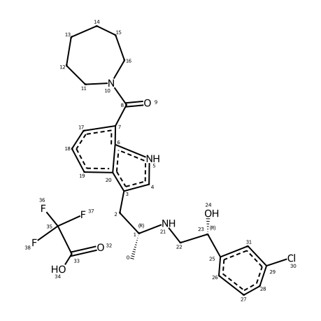 C[C@H](Cc1c[nH]c2c(C(=O)N3CCCCCC3)cccc12)NC[C@H](O)c1cccc(Cl)c1.O=C(O)C(F)(F)F